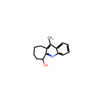 Cc1c2c(nc3ccccc13)C(O)CCCC2